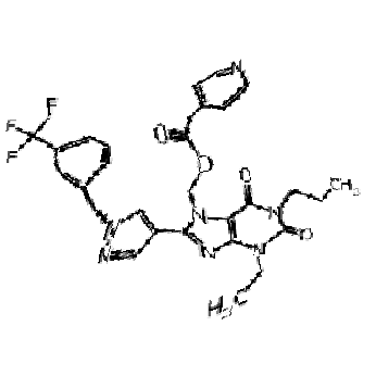 CCCn1c(=O)c2c(nc(-c3cnn(Cc4cccc(C(F)(F)F)c4)c3)n2COC(=O)c2ccncc2)n(CC)c1=O